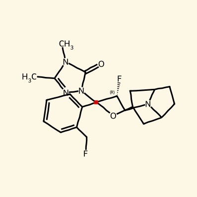 Cc1nn(C[C@H](F)CN2C3CCC2CC(OCc2ccccc2CF)C3)c(=O)n1C